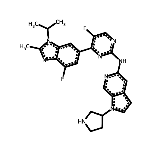 Cc1nc2c(F)cc(-c3nc(Nc4cc5ccn(C6CCNC6)c5cn4)ncc3F)cc2n1C(C)C